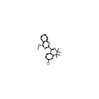 CSc1nc(C2=NC(C)(C)C(C)(C)c3cc(Cl)ccc32)nc2ccccc12